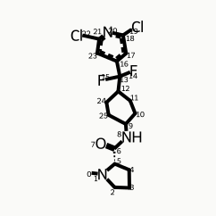 CN1CCC[C@H]1C(=O)NC1CCC(C(F)(F)c2cc(Cl)nc(Cl)c2)CC1